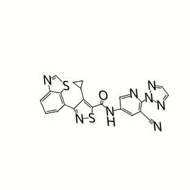 N#Cc1cc(NC(=O)c2snc(-c3cccc4ncsc34)c2C2CC2)cnc1-n1nccn1